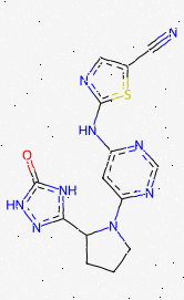 N#Cc1cnc(Nc2cc(N3CCCC3c3n[nH]c(=O)[nH]3)ncn2)s1